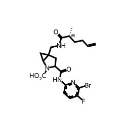 C=CCC[C@@H](C)C(=O)NCC12CC(C(=O)Nc3ccc(F)c(Br)n3)N(C(=O)O)C1C2